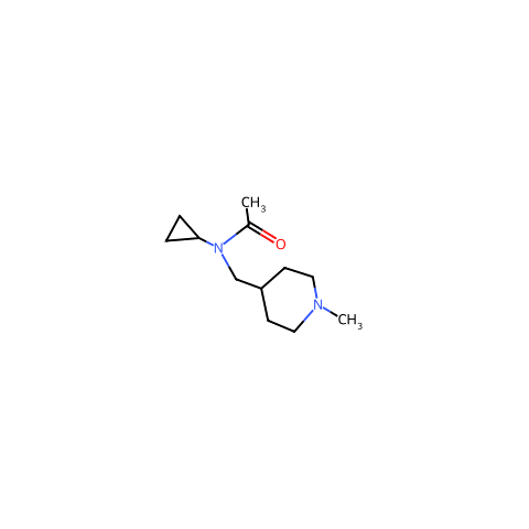 CC(=O)N(CC1CCN(C)CC1)C1CC1